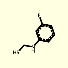 Fc1cccc(NCS)c1